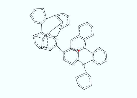 c1ccc(N(c2ccc(-c3ccc4c(c3)-c3c5cccc3-c3ccccc3-c3c(cccc3-4)C5)cc2)c2ccccc2-c2cccc3ccccc23)cc1